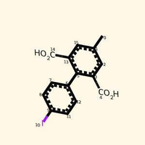 Cc1cc(C(=O)O)c(-c2ccc(I)cc2)c(C(=O)O)c1